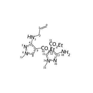 C=CCNc1nn(C)cc1C(=O)OCC.CCOC(=O)c1cn(C)nc1N